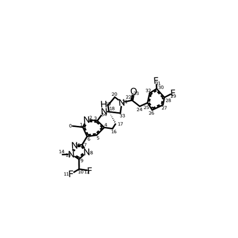 Cc1nc2c(cc1-c1nc(C(F)F)n(C)n1)CC[C@@]1(CCN(C(=O)Cc3ccc(F)c(F)c3)C1)N2